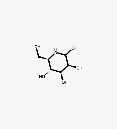 OC[C@H]1NC(O)[C@@H](O)[C@@H](O)[C@@H]1O